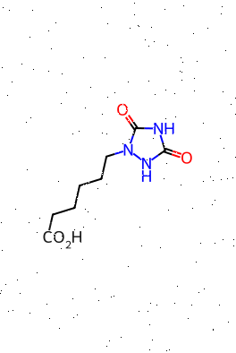 O=C(O)CCCCCn1[nH]c(=O)[nH]c1=O